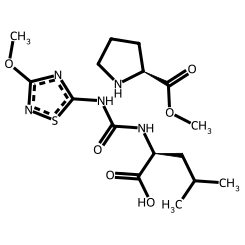 COC(=O)[C@@H]1CCCN1.COc1nsc(NC(=O)N[C@@H](CC(C)C)C(=O)O)n1